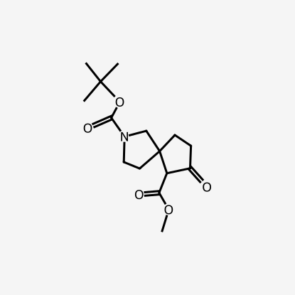 COC(=O)C1C(=O)CCC12CCN(C(=O)OC(C)(C)C)C2